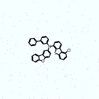 Clc1cccc2sc3c(N(c4cccc(-c5ccccc5)c4)c4ccc5oc6ccccc6c5c4)cccc3c12